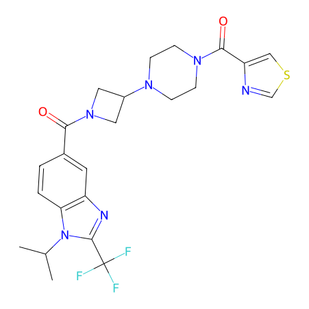 CC(C)n1c(C(F)(F)F)nc2cc(C(=O)N3CC(N4CCN(C(=O)c5cscn5)CC4)C3)ccc21